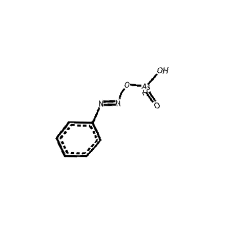 O=[AsH](O)ON=Nc1ccccc1